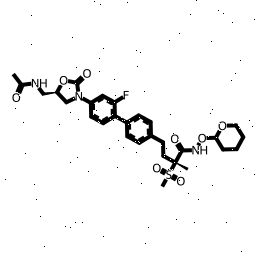 CC(=O)NC[C@@H]1CN(c2ccc(-c3ccc(CC[C@](C)(C(=O)NOC4CCCCO4)S(C)(=O)=O)cc3)c(F)c2)C(=O)O1